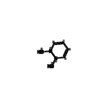 ON1C=CC=CN1O